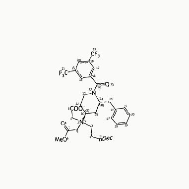 CCCCCCCCCCCC[N+](CC(=O)[O-])(CC(=O)OC)[C@H]1CCN(C(=O)c2cc(C(F)(F)F)cc(C(F)(F)F)c2)[C@H](Cc2ccccc2)C1